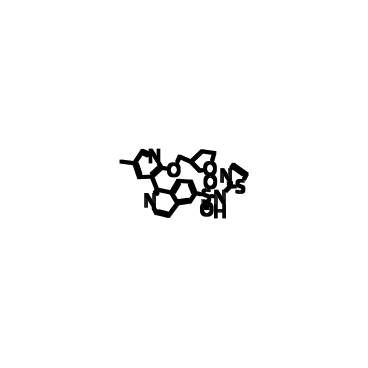 Cc1cnc(OCC2CCOC2)c(-c2nccc3cc(S(=O)(=O)Nc4nccs4)ccc23)c1